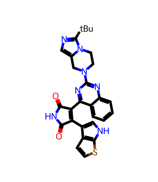 CC(C)(C)c1ncc2n1CCN(c1nc(C3=C(c4c[nH]c5sccc45)C(=O)NC3=O)c3ccccc3n1)C2